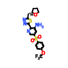 Nc1cc(S(=O)(=O)c2ccc(OC(F)(F)F)cc2)cnc1-c1nnc(C[C@@H]2CCCO2)s1